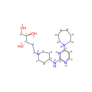 OC[C@@H](O)[C@@H](O)CCN1CCC(Nc2nccc(N3CCCCCC3)n2)CC1